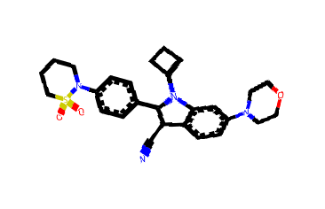 N#CC1c2ccc(N3CCOCC3)cc2N(C2CCC2)C1c1ccc(N2CCCCS2(=O)=O)cc1